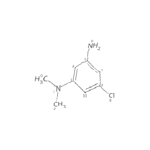 CN(C)c1cc(N)cc(Cl)c1